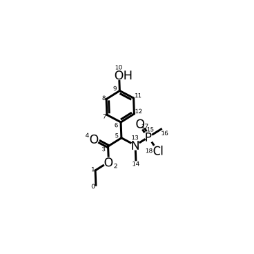 CCOC(=O)C(c1ccc(O)cc1)N(C)P(C)(=O)Cl